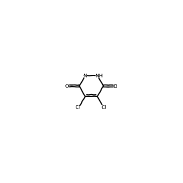 O=C1[N]NC(=O)C(Cl)=C1Cl